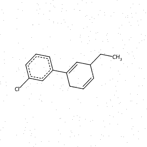 CCC1C=CCC(c2cccc(Cl)c2)=C1